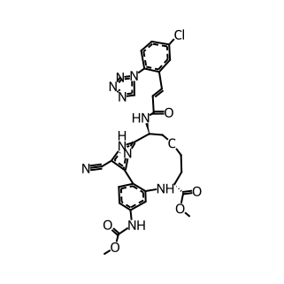 COC(=O)Nc1ccc2c(c1)N[C@@H](C(=O)OC)CCCC[C@H](NC(=O)C=Cc1cc(Cl)ccc1-n1cnnn1)c1nc-2c(C#N)[nH]1